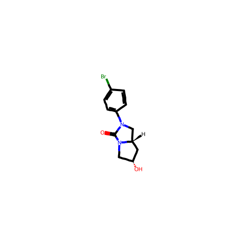 O=C1N(c2ccc(Br)cc2)C[C@@H]2C[C@H](O)CN12